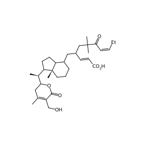 CC/C=C\C(=O)C(C)(C)CC(/C=C/C(=O)O)CC1CCC[C@@]2(C)C1CCC2[C@H](C)C1CC(C)=C(CO)C(=O)O1